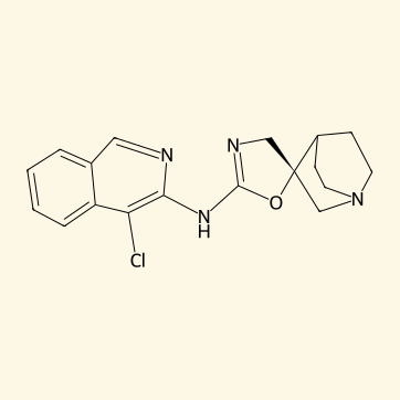 Clc1c(NC2=NC[C@@]3(CN4CCC3CC4)O2)ncc2ccccc12